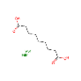 Br.Br.O=C(O)CCCCCCCC(=O)O